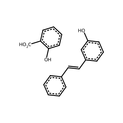 O=C(O)c1ccccc1O.Oc1cccc(C=Cc2ccccc2)c1